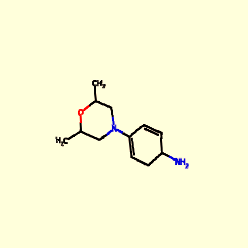 CC1CN(C2=CCC(N)C=C2)CC(C)O1